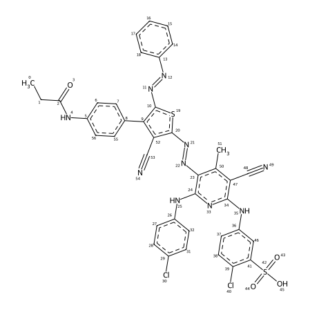 CCC(=O)Nc1ccc(-c2c(N=Nc3ccccc3)sc(N=Nc3c(Nc4ccc(Cl)cc4)nc(Nc4ccc(Cl)c(S(=O)(=O)O)c4)c(C#N)c3C)c2C#N)cc1